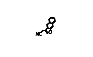 N#CCc1coc2cc3ccccc3cc12